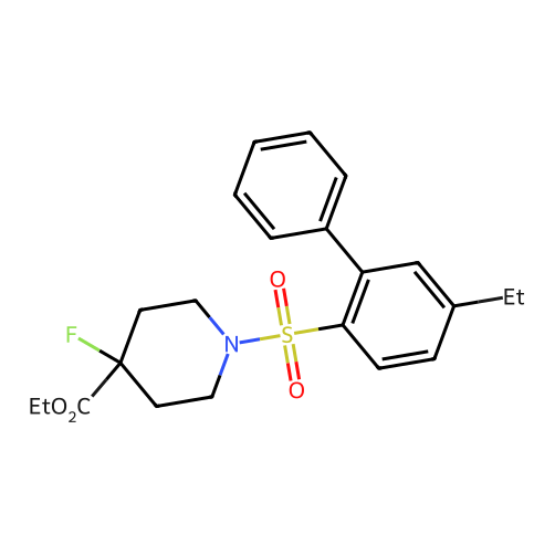 CCOC(=O)C1(F)CCN(S(=O)(=O)c2ccc(CC)cc2-c2ccccc2)CC1